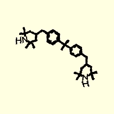 CC1(C)CC(Cc2ccc(C(C)(C)c3ccc(CC4CC(C)(C)NC(C)(C)C4)cc3)cc2)CC(C)(C)N1